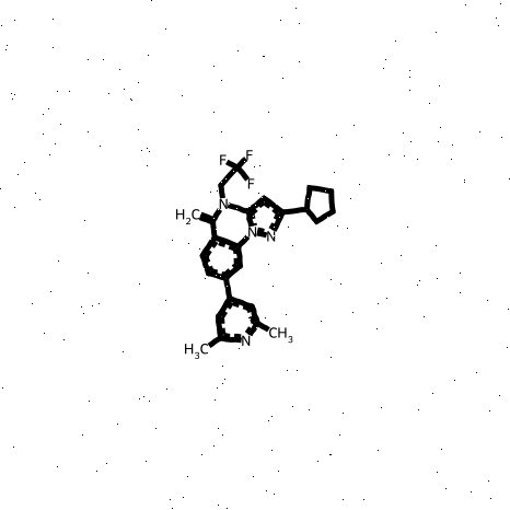 C=C1c2ccc(-c3cc(C)nc(C)c3)cc2-n2nc(C3CCCC3)cc2N1CC(F)(F)F